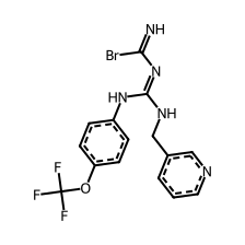 N=C(Br)/N=C(/NCc1cccnc1)Nc1ccc(OC(F)(F)F)cc1